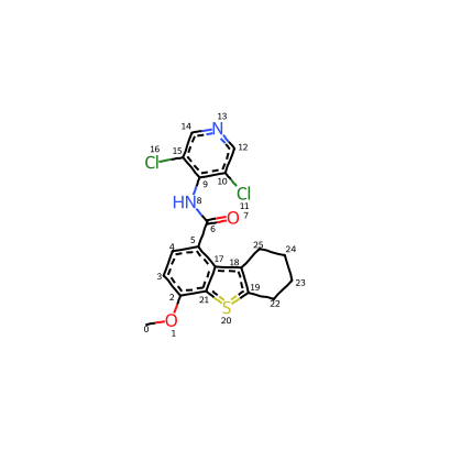 COc1ccc(C(=O)Nc2c(Cl)cncc2Cl)c2c3c(sc12)CCCC3